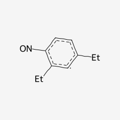 CCc1[c]c(CC)c(N=O)cc1